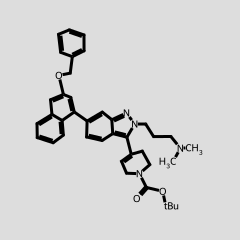 CN(C)CCCn1nc2cc(-c3cc(OCc4ccccc4)cc4ccccc34)ccc2c1C1=CCN(C(=O)OC(C)(C)C)CC1